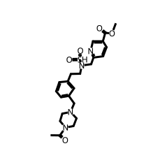 COC(=O)c1ccc(CN(CCc2cccc(CN3CCN(C(C)=O)CC3)c2)[SH](=O)=O)nc1